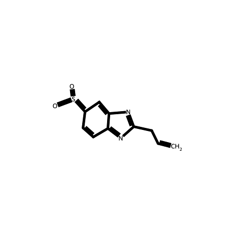 C=CCC1=NC2=CC(=S(=O)=O)C=CC2=N1